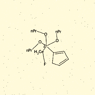 CCC[O][Zr]([O]CCC)([O]CCC)([GeH2][F])[C]1=CC=CC1